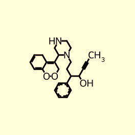 CC#CC(O)C(CCN1CCNCC1C1=C2CC=CC=C2OOC1)c1ccccc1